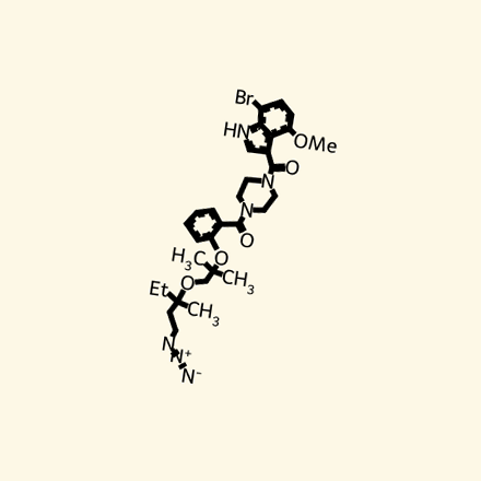 CCC(C)(CCN=[N+]=[N-])OCC(C)(C)Oc1ccccc1C(=O)N1CCN(C(=O)c2c[nH]c3c(Br)ccc(OC)c23)CC1